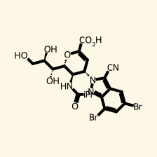 CC(C)C(=O)N[C@H]1[C@H]([C@H](O)[C@H](O)CO)OC(C(=O)O)=C[C@@H]1n1nc2c(Br)cc(Br)cc2c1C#N